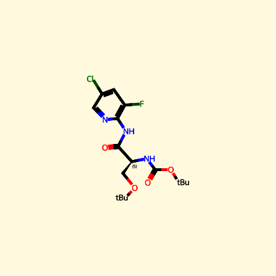 CC(C)(C)OC[C@H](NC(=O)OC(C)(C)C)C(=O)Nc1ncc(Cl)cc1F